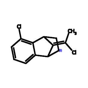 C/C(Cl)=C1/C2CCC1c1c(Cl)cccc12